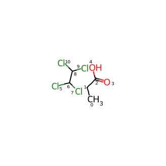 CCC(=O)O.ClC(Cl)C(Cl)Cl